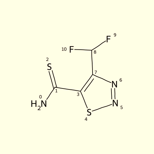 NC(=S)c1snnc1C(F)F